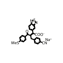 CSc1ccc(C(=O)/C(Cc2ccc(C#N)cc2)=C(/C(=O)[O-])c2ccc3nsnc3c2)cc1.[Na+]